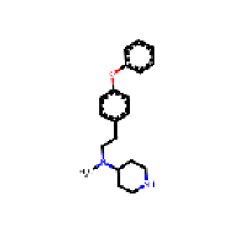 CN(CCc1ccc(Oc2ccccc2)cc1)C1CCNCC1